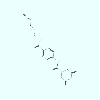 [N-]=[N+]=NCCCNC(=O)c1ccc(NC(=O)C2CC(=O)CC(=O)C2)cc1